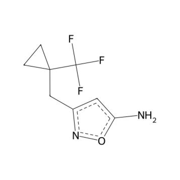 Nc1cc(CC2(C(F)(F)F)CC2)no1